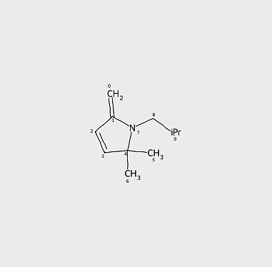 C=C1C=CC(C)(C)N1CC(C)C